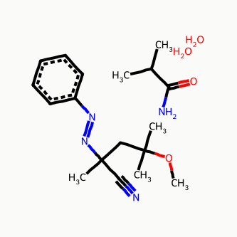 CC(C)C(N)=O.COC(C)(C)CC(C)(C#N)N=Nc1ccccc1.O.O